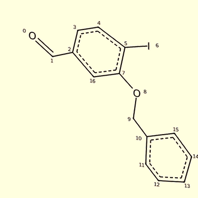 O=Cc1ccc(I)c(OCc2ccccc2)c1